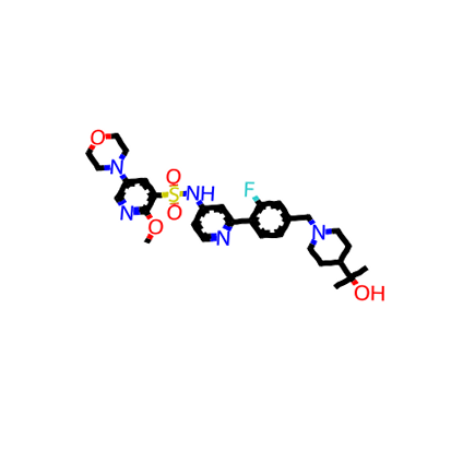 COc1ncc(N2CCOCC2)cc1S(=O)(=O)Nc1ccnc(-c2ccc(CN3CCC(C(C)(C)O)CC3)cc2F)c1